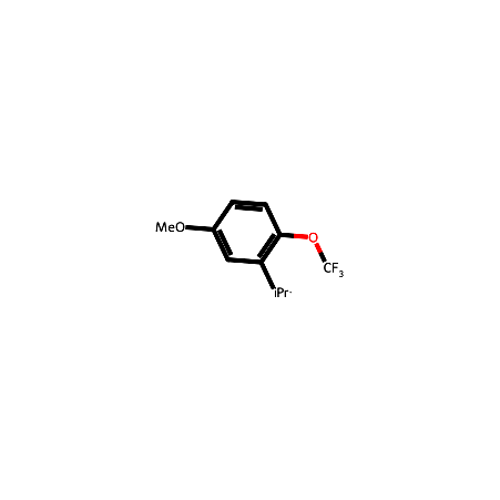 COc1ccc(OC(F)(F)F)c([C](C)C)c1